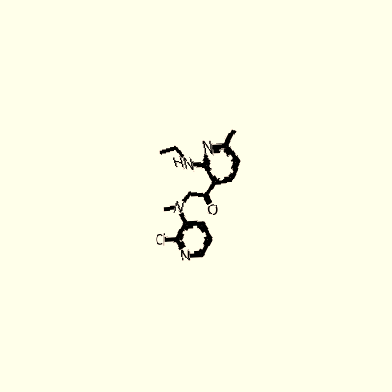 CCNc1nc(C)ccc1C(=O)CN(C)c1cccnc1Cl